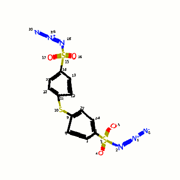 [N-]=[N+]=NS(=O)(=O)c1ccc(Sc2ccc(S(=O)(=O)N=[N+]=[N-])cc2)cc1